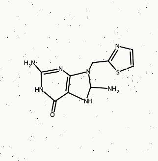 Nc1nc2c(c(=O)[nH]1)NC(N)N2Cc1nccs1